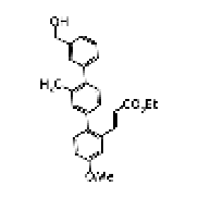 CCOC(=O)/C=C/c1cc(OC)ccc1-c1ccc(-c2cccc(CO)c2)c(C)c1